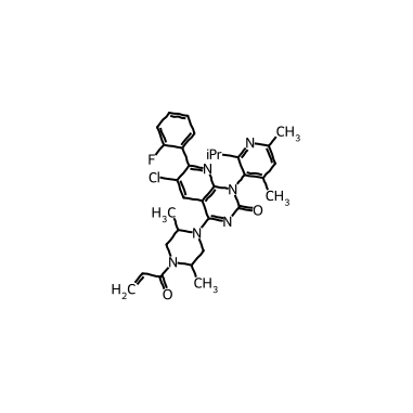 C=CC(=O)N1CC(C)N(c2nc(=O)n(-c3c(C)cc(C)nc3C(C)C)c3nc(-c4ccccc4F)c(Cl)cc23)CC1C